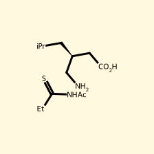 CC(C)C[C@H](CN)CC(=O)O.CCC(=S)NC(C)=O